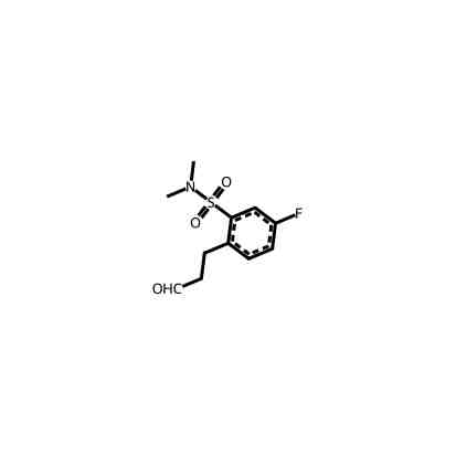 CN(C)S(=O)(=O)c1cc(F)ccc1CCC=O